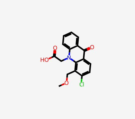 COCc1c(Cl)ccc2c(=O)c3ccccc3n(CC(=O)O)c12